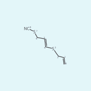 C=CCSC=CCSC#N